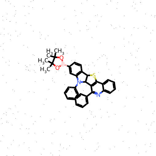 CC1(C)OB(c2ccc3c(c2)N(c2ccccc2)C2c4c(-c5ccccc5)nc5ccccc5c4SC32)OC1(C)C